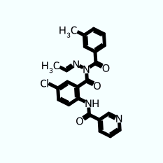 CC=NN(C(=O)c1cccc(C)c1)C(=O)c1cc(Cl)ccc1NC(=O)c1cccnc1